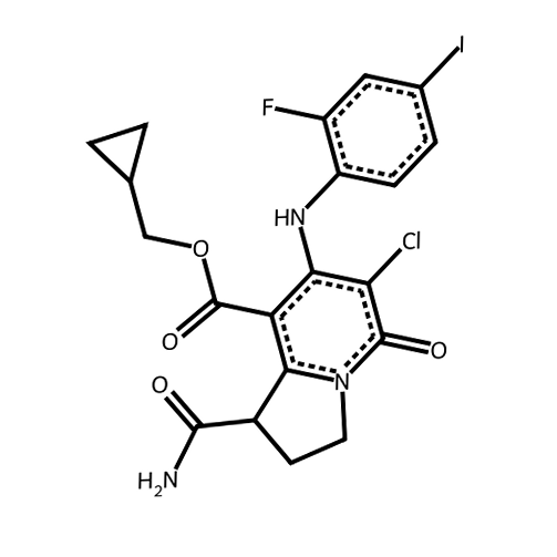 NC(=O)C1CCn2c1c(C(=O)OCC1CC1)c(Nc1ccc(I)cc1F)c(Cl)c2=O